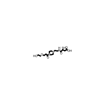 O=C(O)CC(S)C(=O)NCCN1CCN(C(=O)CCOCCO)CC1